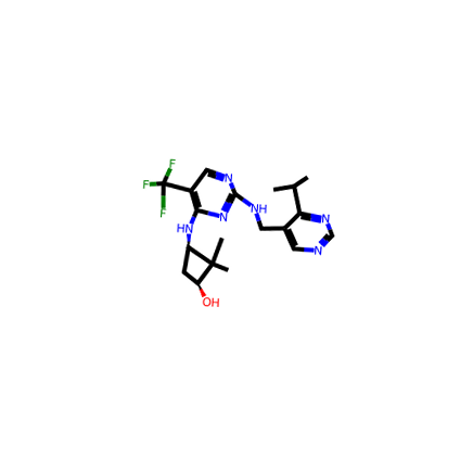 CC(C)c1ncncc1CNc1ncc(C(F)(F)F)c(N[C@@H]2C[C@H](O)C2(C)C)n1